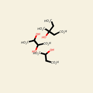 O=C(O)C(O)C(O)C(=O)O.O=C(O)CC(O)(CC(=O)O)C(=O)O.O=C(O)CC(O)C(=O)O